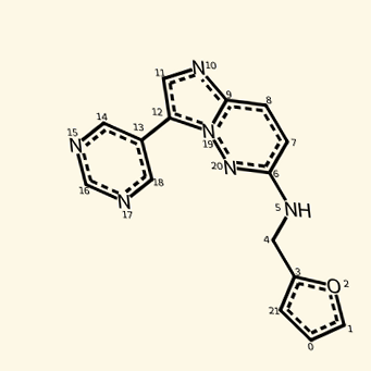 c1coc(CNc2ccc3ncc(-c4cncnc4)n3n2)c1